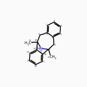 CC12Cc3ccccc3CC(C)(N1)c1ccccc12